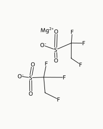 O=S(=O)([O-])C(F)(F)CF.O=S(=O)([O-])C(F)(F)CF.[Mg+2]